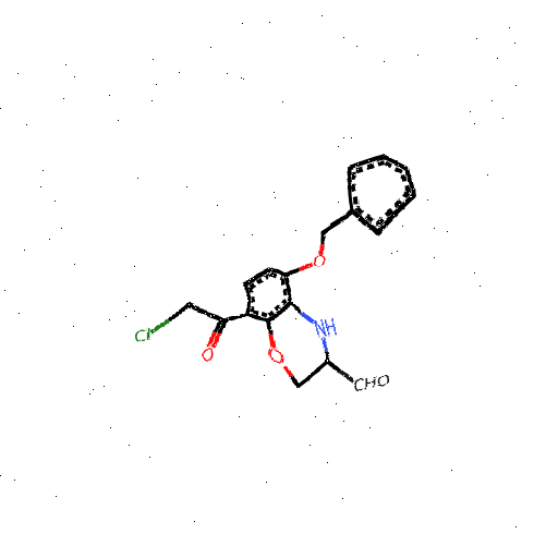 O=CC1COc2c(C(=O)CCl)ccc(OCc3ccccc3)c2N1